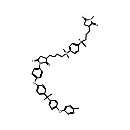 Cc1ccc(Oc2ccc(C(C)(C)c3ccc(Oc4ccc(N5C(=O)CC(CCCC[Si](C)(C)c6ccc([Si](C)(C)CCCC7CC(=O)N(C)C7=O)cc6)C5=O)cc4)cc3)cc2)cc1